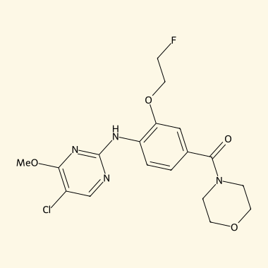 COc1nc(Nc2ccc(C(=O)N3CCOCC3)cc2OCCF)ncc1Cl